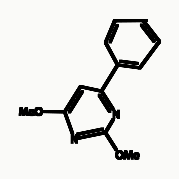 COc1cc(-c2cc[c]cc2)nc(OC)n1